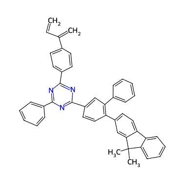 C=CC(=C)c1ccc(-c2nc(-c3ccccc3)nc(-c3ccc(-c4ccc5c(c4)C(C)(C)c4ccccc4-5)c(-c4ccccc4)c3)n2)cc1